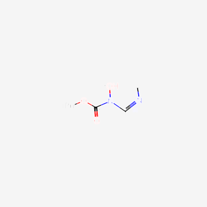 C/N=C\N(O)C(=O)OC(C)(C)C